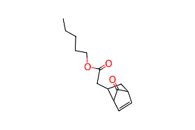 CCCCCOC(=O)CC1CC2C=CC1C2=O